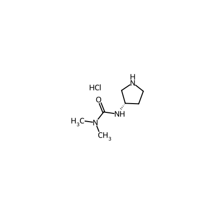 CN(C)C(=O)N[C@H]1CCNC1.Cl